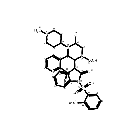 CCOc1ncccc1C1C(C2C(=O)N(S(=O)(=O)c3ccccc3OC)c3ccccc32)N(C(=O)O)CC(Cl)N1C1CCN(C)CC1